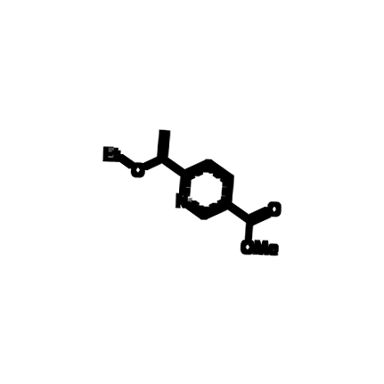 C=C(OCC)c1ccc(C(=O)OC)cn1